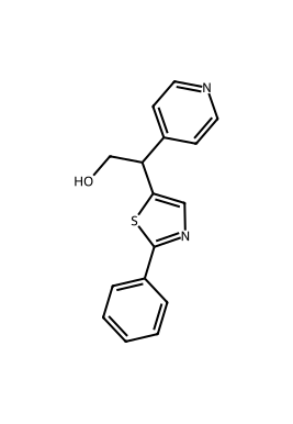 OCC(c1ccncc1)c1cnc(-c2ccccc2)s1